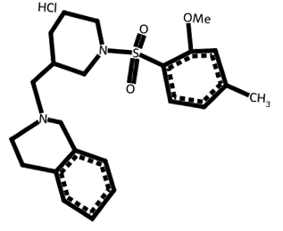 COc1cc(C)ccc1S(=O)(=O)N1CCCC(CN2CCc3ccccc3C2)C1.Cl